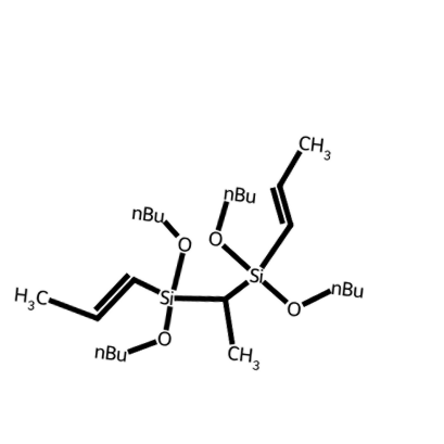 CC=C[Si](OCCCC)(OCCCC)C(C)[Si](C=CC)(OCCCC)OCCCC